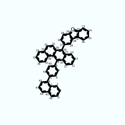 c1ccc2c(-c3ccc(-c4c5ccccc5c(-c5ccc6oc7ccccc7c6c5)c5ccc6ccccc6c45)cc3)cccc2c1